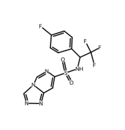 O=S(=O)(NC(c1ccc(F)cc1)C(F)(F)F)c1cc2nncn2cn1